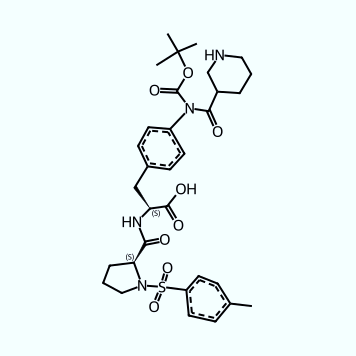 Cc1ccc(S(=O)(=O)N2CCC[C@H]2C(=O)N[C@@H](Cc2ccc(N(C(=O)OC(C)(C)C)C(=O)C3CCCNC3)cc2)C(=O)O)cc1